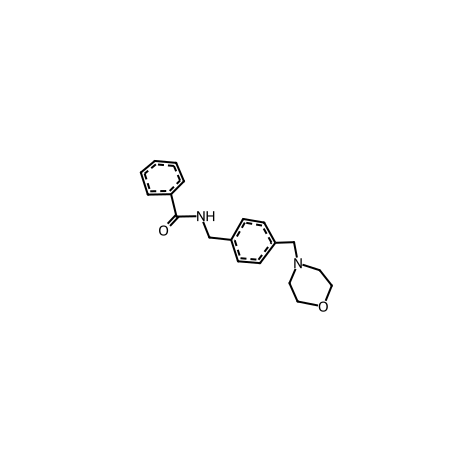 O=C(NCc1ccc(CN2CCOCC2)cc1)c1ccccc1